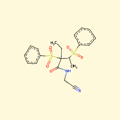 CCC(C(=O)NCC#N)(C(C)S(=O)(=O)c1ccccc1)S(=O)(=O)c1ccccc1